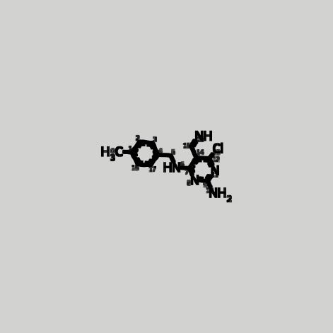 Cc1ccc(CNc2nc(N)nc(Cl)c2C=N)cc1